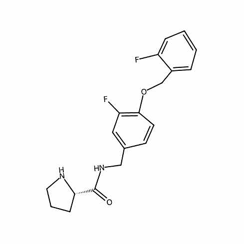 O=C(NCc1ccc(OCc2ccccc2F)c(F)c1)[C@@H]1CCCN1